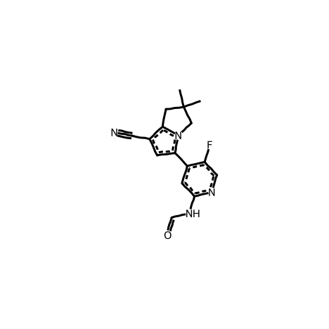 CC1(C)Cc2c(C#N)cc(-c3cc(NC=O)ncc3F)n2C1